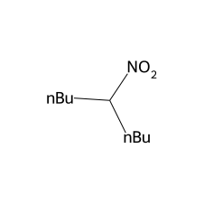 [CH2]CCCC(CCCC)[N+](=O)[O-]